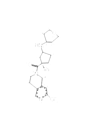 CC(C)[C@]1(C(=O)N2CCc3cnc(C(F)(F)F)cc3C2)CCC(NC2CCOCC2)C1